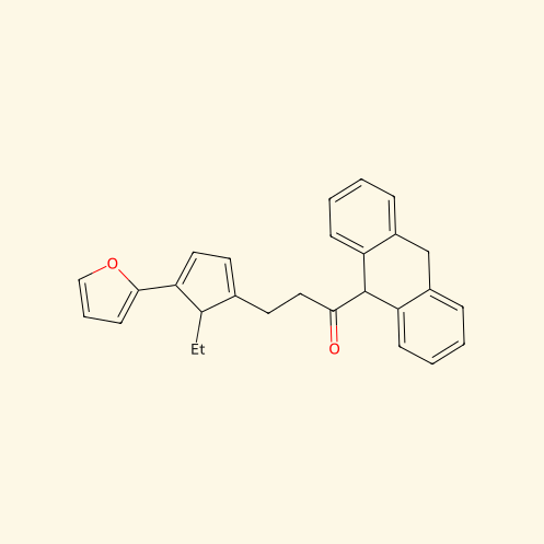 CCC1C(CCC(=O)C2c3ccccc3Cc3ccccc32)=CC=C1c1ccco1